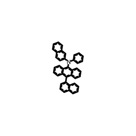 c1ccc(N(c2ccc3ccccc3c2)c2c3ccccc3c(-c3cccc4ccccc34)c3ccccc23)cc1